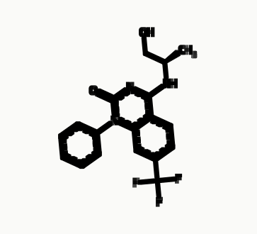 C[C@H](CO)Nc1nc(=O)n(-c2ccccc2)c2cc(C(F)(F)F)ccc12